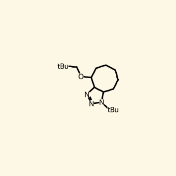 CC(C)(C)COC1CCCCCC2C1N=NN2C(C)(C)C